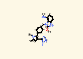 CCOC(=O)Nc1cccc2c1N(Cc1ccc(-c3c(-c4nnn[nH]4)cc(C)n3CC)cc1)C(OCC)N2